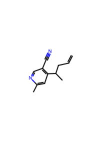 C=CCC(C)c1cc(C)ncc1C#N